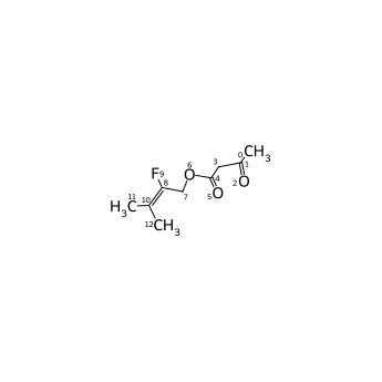 CC(=O)CC(=O)OCC(F)=C(C)C